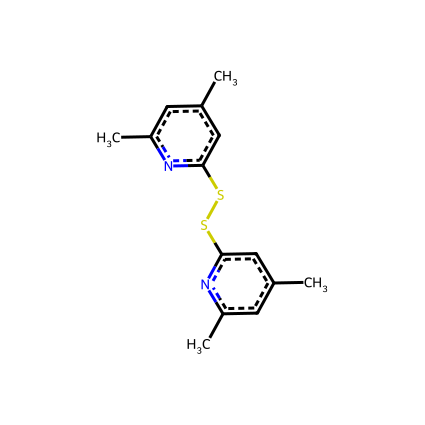 Cc1cc(C)nc(SSc2cc(C)cc(C)n2)c1